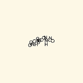 O=c1[nH]c2cc(S(=O)(=O)N3CCc4c(ccnc4Nc4cnc5ccccc5c4)C3)ccc2o1